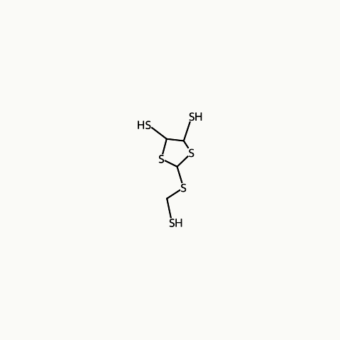 SCSC1SC(S)C(S)S1